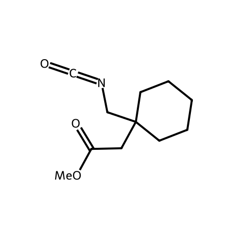 COC(=O)CC1(CN=C=O)CCCCC1